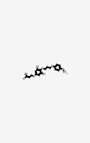 F/C(Br)=C/COc1cc(Cl)c(OCCCOc2ccc(OC(F)(F)F)cc2)c(Cl)c1